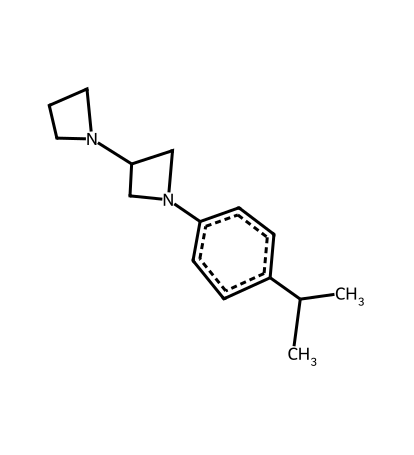 CC(C)c1ccc(N2CC(N3CCC3)C2)cc1